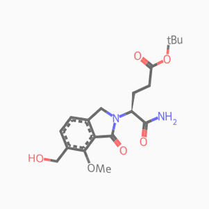 COc1c(CO)ccc2c1C(=O)N([C@@H](CCC(=O)OC(C)(C)C)C(N)=O)C2